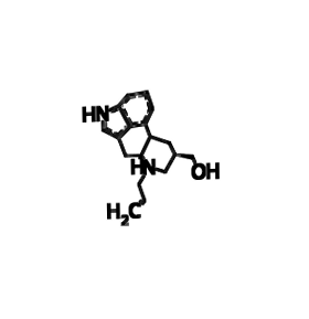 C=CCN1C[C@H](CO)CC2c3cccc4[nH]cc(c34)C[C@H]21